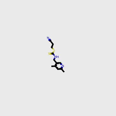 Cc1cc(C)c(CNC(=S)SCCC#N)cn1